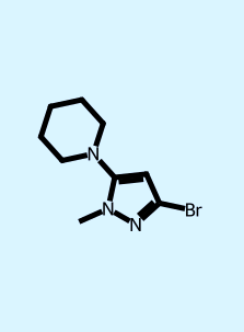 Cn1nc(Br)cc1N1CCCCC1